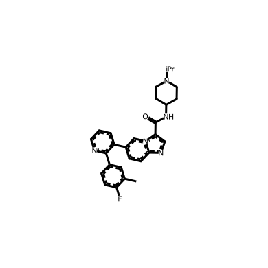 Cc1cc(-c2ncccc2-c2ccc3ncc(C(=O)NC4CCN(C(C)C)CC4)n3c2)ccc1F